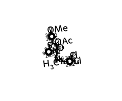 COc1ccc([C@H]2Sc3ccccc3N(CCN(C)CCc3ccc(Cl)c(Cl)c3)C(=O)[C@H]2OC(C)=O)cc1